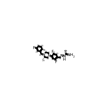 C[C@@H]1CN(c2cc(F)c(C=NNC(N)=S)cc2F)C[C@H](C)N1Cc1cccc(F)c1